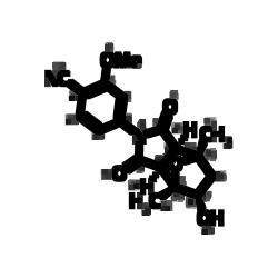 COc1cc(N2C(=O)[C@@H]3[C@H](C2=O)[C@]2(C)O[C@@]3(C)C[C@H]2O)ccc1C#N